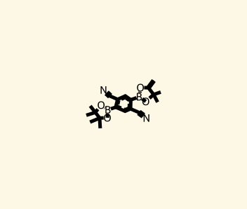 C=C1OB(c2cc(C#N)c(B3OC(C)(C)C(C)(C)O3)cc2C#N)OC1(C)C